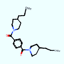 COCCC1CCN(C(=O)c2ccc(C(=O)N3CCC(CCOC)CC3)cc2)CC1